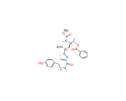 CC(=O)O[C@H](C[C@H](C(C)OC(=O)c1ccccc1)N(C)C(=O)OC(C)(C)C)c1nc(C(=O)N(C)[C@H](C)Cc2ccc(O)cc2)cs1